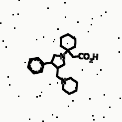 O=C(O)CC1(N2CC(CN3CCCCC3)C(c3ccccc3)C2)CCCCC1